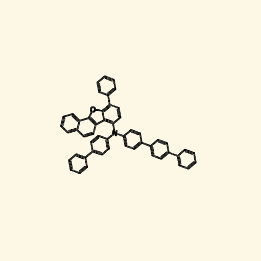 c1ccc(-c2ccc(-c3ccc(N(c4ccc(-c5ccccc5)cc4)c4ccc(-c5ccccc5)c5oc6c7ccccc7ccc6c45)cc3)cc2)cc1